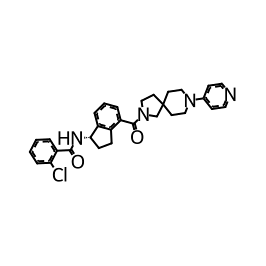 O=C(N[C@H]1CCc2c(C(=O)N3CCC4(CCN(c5ccncc5)CC4)C3)cccc21)c1ccccc1Cl